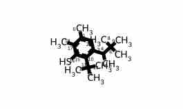 Cc1cc(C(C)C(C)(C)C)c(C(C)(C)C)c(S)c1C